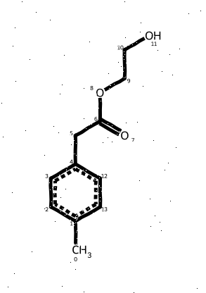 Cc1ccc(CC(=O)OCCO)cc1